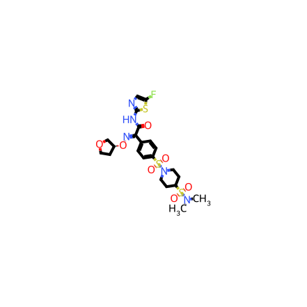 CN(C)S(=O)(=O)C1CCN(S(=O)(=O)c2ccc(/C(=N\O[C@@H]3CCOC3)C(=O)Nc3ncc(F)s3)cc2)CC1